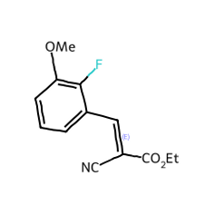 CCOC(=O)/C(C#N)=C/c1cccc(OC)c1F